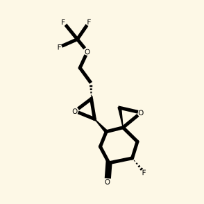 O=C1CC([C@H]2O[C@@H]2CCOC(F)(F)F)[C@@]2(CO2)C[C@@H]1F